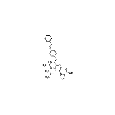 CC(=O)N[C@@H](Cc1ccc(OCc2ccccc2)cc1)C(=O)N[C@@H](CC(C)C)C(=O)N1CCC[C@H]1C(=O)O